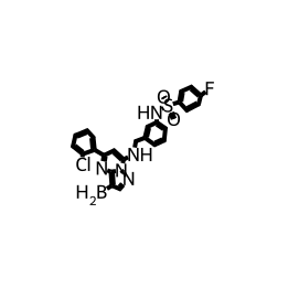 Bc1cnn2c(NCc3cccc(NS(=O)(=O)c4ccc(F)cc4)c3)cc(-c3ccccc3Cl)nc12